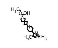 CCOC(O)N1CCC2(CC(N3CCC(c4nn(C)cc4C)CC3)C2)C1